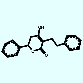 O=C1OC(c2ccccc2)CC(O)=C1CCc1ccccc1